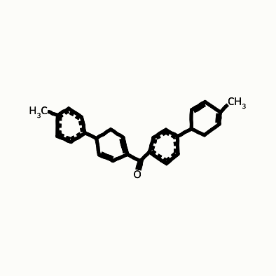 CC1=CCC(c2ccc(C(=O)C3=CCC(c4ccc(C)cc4)C=C3)cc2)C=C1